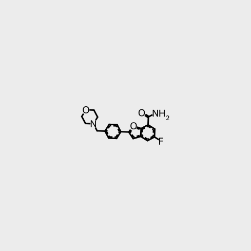 NC(=O)c1cc(F)cc2cc(-c3ccc(CN4CCOCC4)cc3)oc12